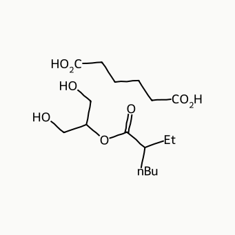 CCCCC(CC)C(=O)OC(CO)CO.O=C(O)CCCCC(=O)O